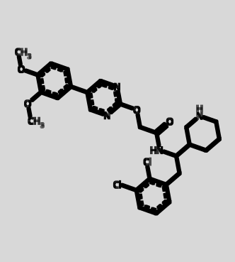 COc1ccc(-c2cnc(OCC(=O)NC(Cc3cccc(Cl)c3Cl)C3CCCNC3)nc2)cc1OC